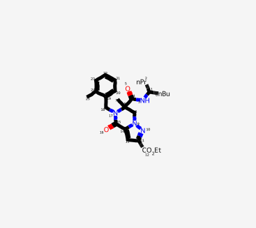 CCCCC(CCC)NC(=O)C1(C)Cn2nc(C(=O)OCC)cc2C(=O)N1Cc1ccccc1C